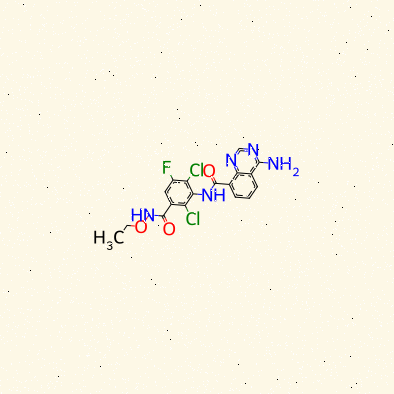 CCONC(=O)c1cc(F)c(Cl)c(NC(=O)c2cccc3c(N)ncnc23)c1Cl